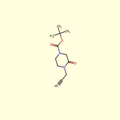 C#CCN1CCN(C(=O)OC(C)(C)C)CC1=O